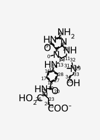 CN1c2c(nc(N)[nH]c2=O)NC[C@@H]1CNc1ccc(C(=O)N[C@@H](CCC(=O)[O-])C(=O)O)cc1.C[N+](C)(C)CCO